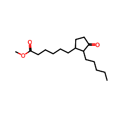 CCCCCC1C(=O)CCC1CCCCCC(=O)OC